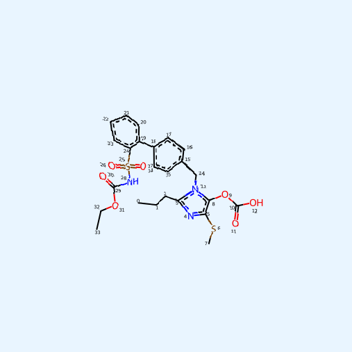 CCCc1nc(SC)c(OC(=O)O)n1Cc1ccc(-c2ccccc2S(=O)(=O)NC(=O)OCC)cc1